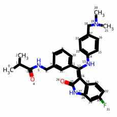 CC(C)C(=O)NCc1cccc(C(Nc2ccc(CN(C)C)cc2)=C2C(=O)Nc3cc(F)ccc32)c1